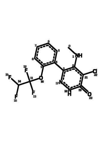 CNc1c(-c2ccccc2OC(F)(F)C(F)F)n[nH]c(=O)c1Cl